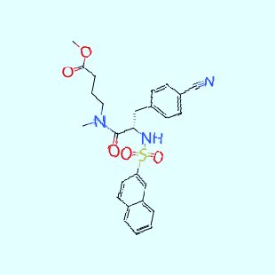 COC(=O)CCCN(C)C(=O)[C@H](Cc1ccc(C#N)cc1)NS(=O)(=O)c1ccc2ccccc2c1